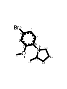 COc1cc(Br)ccc1N1CCCC1C